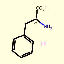 I.N[C@@H](Cc1ccccc1)C(=O)O